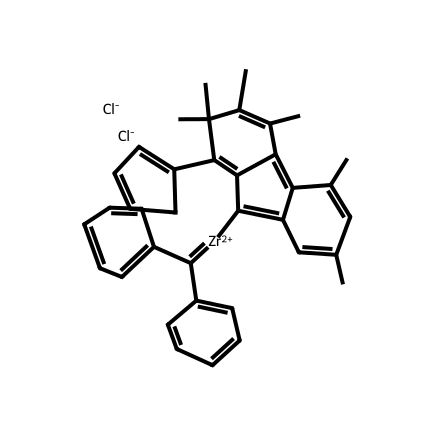 CC1=C(C)C(C)(C)C(C2=CC=CC2)=C2[C]([Zr+2]=[C](c3ccccc3)c3ccccc3)=c3cc(C)cc(C)c3=C12.[Cl-].[Cl-]